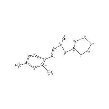 Cc1ccc(N=CN(C)SN2CCCCC2)c(C)c1